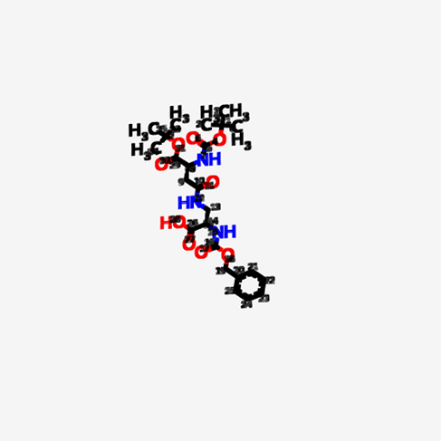 CC(C)(C)OC(=O)N[C@@H](CC(=O)NC[C@@H](NC(=O)OCc1ccccc1)C(=O)O)C(=O)OC(C)(C)C